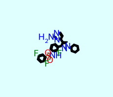 Nc1nccc(-c2cn(C3CCCCC3)nc2-c2cccc(NS(=O)(=O)c3cc(F)ccc3F)c2F)n1